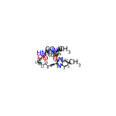 Cc1ccc2nc(C#CCCC[C@@H]3CC3OC(=O)N[C@H](C(=O)O)C(C)(C)C)c(OC3CN[C@H](C)C3)nc2c1